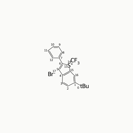 CC(C)(C)c1ccc2cc(-c3ccccc3)[s+](C(F)(F)F)c2c1.[Br-]